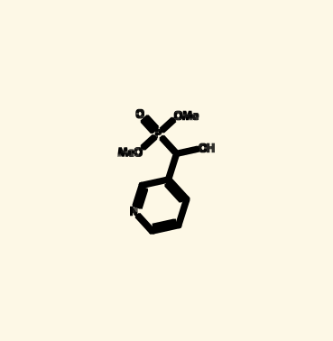 COP(=O)(OC)C(O)c1cccnc1